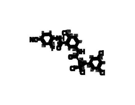 N#Cc1ccc(NC(=O)c2cc(NC(=O)[C@@H]3[C@@H](c4cc(Cl)cc(Cl)c4)C3(Cl)Cl)ccc2Cl)c(F)c1